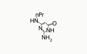 CCCNc1cc(=O)[nH]c(N)n1